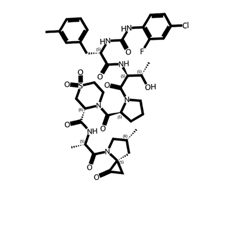 Cc1cccc(C[C@H](NC(=O)Nc2ccc(Cl)cc2F)C(=O)N[C@H](C(=O)N2CCC[C@H]2C(=O)N2CCS(=O)(=O)C[C@H]2C(=O)N[C@@H](C)C(=O)N2C[C@H](C)C[C@@]23CC3=O)[C@H](C)O)c1